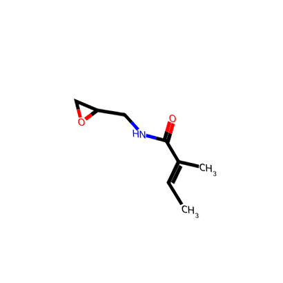 CC=C(C)C(=O)NCC1CO1